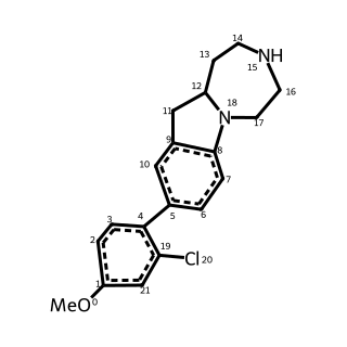 COc1ccc(-c2ccc3c(c2)CC2CCNCCN32)c(Cl)c1